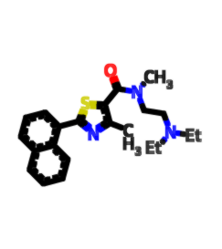 CCN(CC)CCN(C)C(=O)c1sc(-c2cccc3ccccc23)nc1C